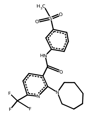 CS(=O)(=O)c1cccc(NC(=O)c2ccc(C(F)(F)F)nc2N2CCCCCC2)c1